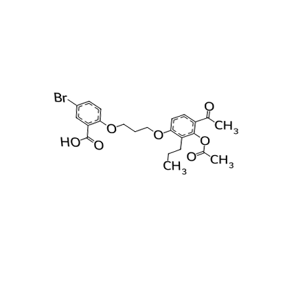 CCCc1c(OCCCOc2ccc(Br)cc2C(=O)O)ccc(C(C)=O)c1OC(C)=O